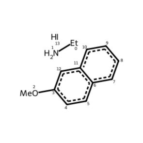 CCN.COc1ccc2ccccc2c1.I